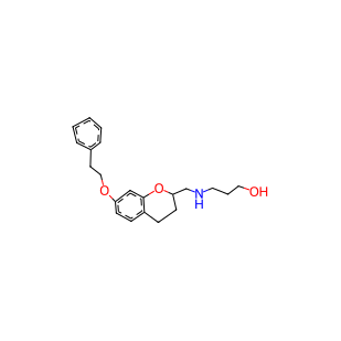 OCCCNCC1CCc2ccc(OCCc3ccccc3)cc2O1